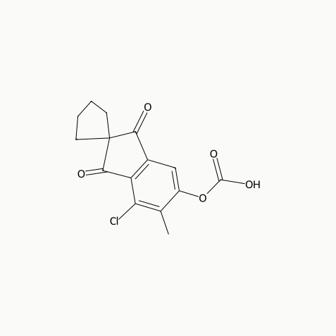 Cc1c(OC(=O)O)cc2c(c1Cl)C(=O)C1(CCCC1)C2=O